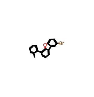 Cc1ccccc1-c1cccc2c1oc1ccc(Br)cc12